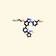 COCCOc1cc(-c2cccc(C3(N)CCCC3)n2)cc2c1cnn2-c1cccc(CO)n1